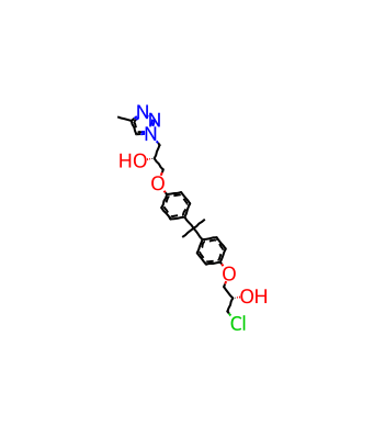 Cc1cn(C[C@@H](O)COc2ccc(C(C)(C)c3ccc(OC[C@H](O)CCl)cc3)cc2)nn1